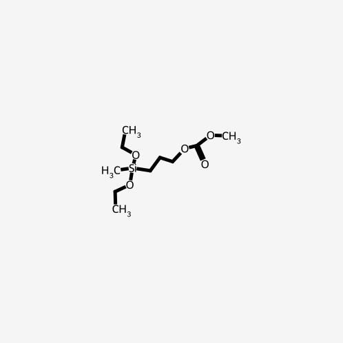 CCO[Si](C)(CCCOC(=O)OC)OCC